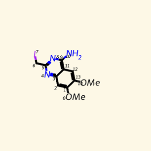 COc1cc2nc(CI)nc(N)c2cc1OC